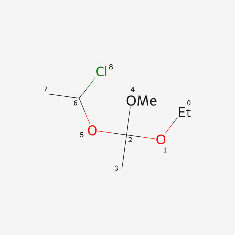 CCOC(C)(OC)OC(C)Cl